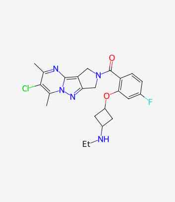 CCNC1CC(Oc2cc(F)ccc2C(=O)N2Cc3nn4c(C)c(Cl)c(C)nc4c3C2)C1